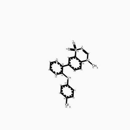 CN1C=NS(=O)(=O)c2cc(-c3nccnc3Sc3ccc(C(F)(F)F)cc3)ccc21